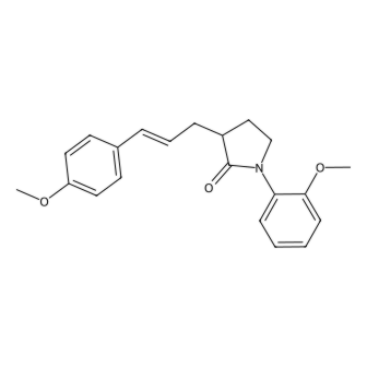 COc1ccc(C=CCC2CCN(c3ccccc3OC)C2=O)cc1